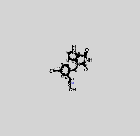 O=c1[nH]c(=S)n(Cc2ccc(Cl)cc2/C=N/O)c2cc[nH]c12